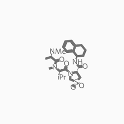 CN[C@@H](C)C(=O)N(C)[C@H](C(=O)N1CS(=O)(=O)C[C@H]1C(=O)N[C@@H]1CCCc2ccccc21)C(C)C